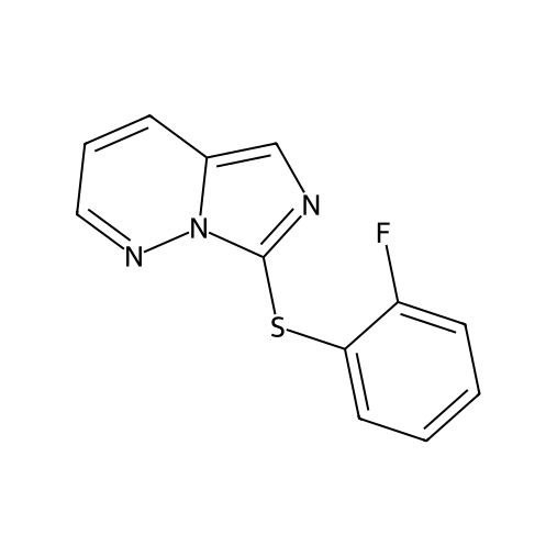 Fc1ccccc1Sc1ncc2cccnn12